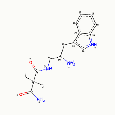 CC(C)(C(N)=O)C(=O)NCC(N)Cc1c[nH]c2ccccc12